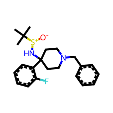 CC(C)(C)[S+]([O-])NC1(c2ccccc2F)CCN(Cc2ccccc2)CC1